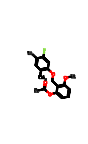 CCOc1cccc(OC(=O)CC)c1COc1cc(F)c(CC)cc1C